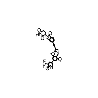 COc1cc(-c2cc(C(F)F)c(=O)n(C)c2)cc(OC)c1CN1CC(C#Cc2ccc3c(c2)CN(C2CCC(=O)NC2=O)C3=O)C1